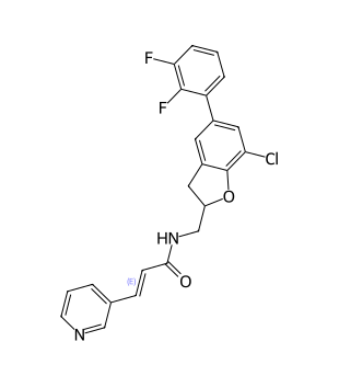 O=C(/C=C/c1cccnc1)NCC1Cc2cc(-c3cccc(F)c3F)cc(Cl)c2O1